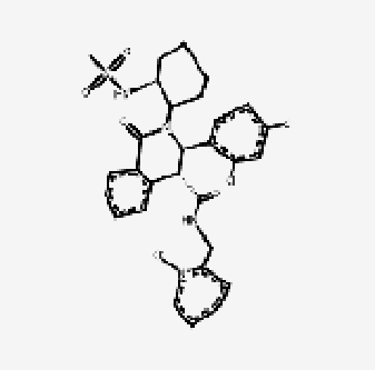 CS(=O)(=O)N[C@H]1CCCCC1N1C(=O)c2ccccc2[C@@H](C(=O)NCc2cccc[n+]2[O-])[C@@H]1c1ccc(Cl)cc1Cl